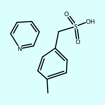 Cc1ccc(CS(=O)(=O)O)cc1.c1ccncc1